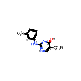 CCOC(=O)c1cnc(Nc2cccc([N+](=O)[O-])c2)[nH]c1=O